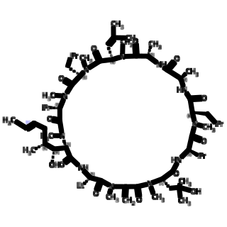 C=C1C(=O)N(C)[C@@H](CC(C)(C)O)C(=O)N[C@H](C(C)C)C(=O)N(C)[C@H](CC(C)C)C(=O)N[C@H](C)C(=O)N[C@@H](C)C(=O)N(C)[C@@H](C=C(C)C)C(=O)N(C)[C@@H](CC(C)C)C(=O)N(C)[C@@H](C(C)C)C(=O)N(C)[C@@H]([C@H](O)[C@H](C)C/C=C/C)C(=O)N[C@@H](CC)C(=O)N1C